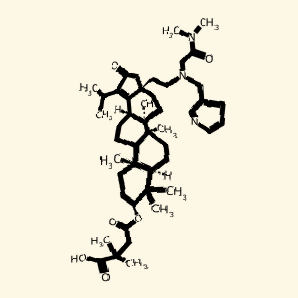 CC(C)C1=C2[C@H]3CCC4[C@@]5(C)CC[C@H](OC(=O)CC(C)(C)C(=O)O)C(C)(C)[C@@H]5CC[C@@]4(C)[C@]3(C)CC[C@@]2(CCN(CC(=O)N(C)C)Cc2cccnc2)CC1=O